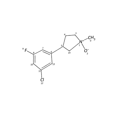 C[N+]1([O-])CCC(c2cc(F)cc(Cl)c2)C1